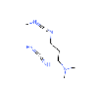 CN=C=NCCCN(C)C.N=C=N